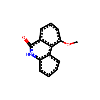 COc1cccc2c(=O)[nH]c3ccccc3c12